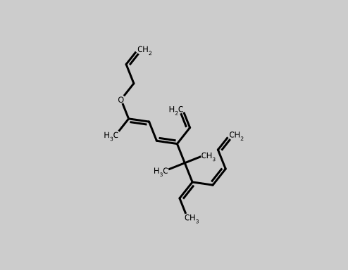 C=C/C=C\C(=C/C)C(C)(C)/C(C=C)=C/C=C(\C)OCC=C